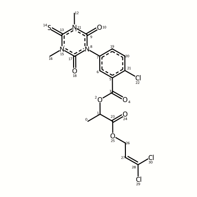 CC(OC(=O)c1cc(-n2c(=O)n(C)c(=S)n(C)c2=O)ccc1Cl)C(=O)OCC=C(Cl)Cl